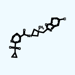 C[C@]1(Cc2nc3cc(Cl)ccc3o2)C[C@@H](NC(=O)c2ccnc(S(=O)(=O)C3CC3)c2)C1